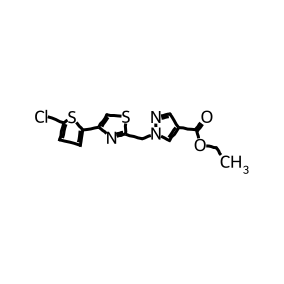 CCOC(=O)c1cnn(Cc2nc(-c3ccc(Cl)s3)cs2)c1